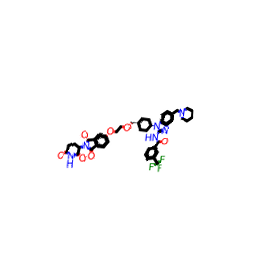 O=C1CCC(N2C(=O)c3ccc(OCCOC[C@H]4CC[C@@H](n5c(NC(=O)c6cccc(C(F)(F)F)c6)nc6cc(CN7CCCCC7)ccc65)CC4)cc3C2=O)C(=O)N1